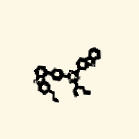 C=C/C=C(\C=C)c1nc(-c2ccc(-c3cccc4oc5ccc(CCC)cc5c34)cc2)nc(-c2ccc3c(c2)oc2ccccc23)n1